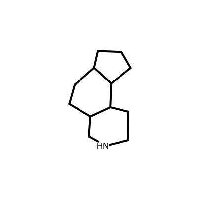 C1CC2CCC3CNCCC3C2C1